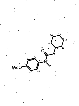 COc1ccc(N(C)C(=O)CC2CCCCC2)cc1